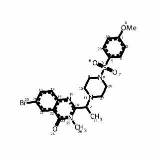 COc1ccc(S(=O)(=O)N2CCN(C(C)c3nc4ccc(Br)cc4c(=O)n3C)CC2)cc1